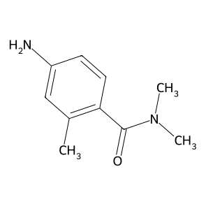 Cc1cc(N)ccc1C(=O)N(C)C